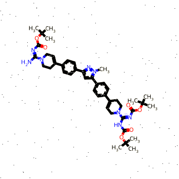 Cn1nc(-c2ccc(C3=CCN(/C(N)=N\C(=O)OC(C)(C)C)CC3)cc2)cc1-c1ccc(C2=CCN(/C(=N\C(=O)OC(C)(C)C)NC(=O)OC(C)(C)C)CC2)cc1